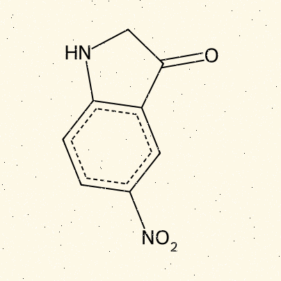 O=C1CNc2ccc([N+](=O)[O-])cc21